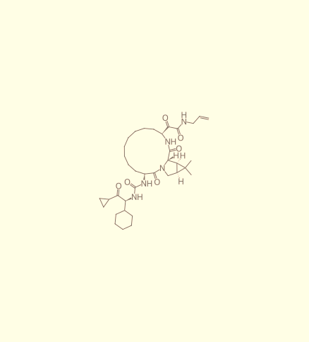 C=CCNC(=O)C(=O)[C@@H]1CCCCCCCC[C@H](NC(=O)N[C@H](C(=O)C2CC2)C2CCCCC2)C(=O)N2C[C@H]3[C@@H]([C@H]2C(=O)N1)C3(C)C